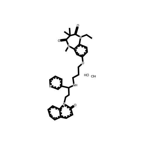 CCN1C(=O)C(C)(C)C(=O)N(C)c2cc(OCCCNC(CCn3c(=O)ccc4ccccc43)c3cccnc3)ccc21.Cl.Cl